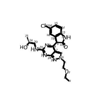 CCOCCn1cc2c(C3C(=O)Nc4ccc(Cl)cc43)nc(NC[C@H](C)O)nc2n1